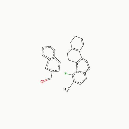 Cc1ccc2ccc3c(c2c1F)CCC1=C3C=CCC1.O=Cc1ccc2ccccc2c1